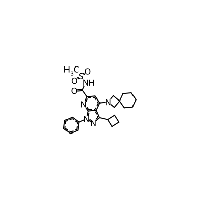 CS(=O)(=O)NC(=O)c1cc(N2CC3(CCCCC3)C2)c2c(C3CCC3)nn(-c3ccccc3)c2n1